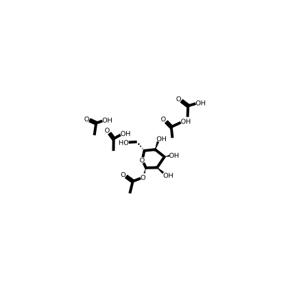 CC(=O)O.CC(=O)O.CC(=O)O.CC(=O)O.CC(=O)O[C@@H]1O[C@H](CO)[C@@H](O)[C@H](O)[C@H]1O